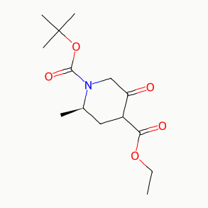 CCOC(=O)C1C[C@@H](C)N(C(=O)OC(C)(C)C)CC1=O